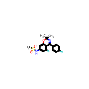 CC1(C)N=C(c2ccc(F)cc2)c2c(F)cc(NS(C)(=O)=O)cc2O1